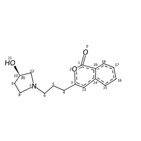 O=c1oc(CCCN2CC[C@@H](O)C2)cc2ccccc12